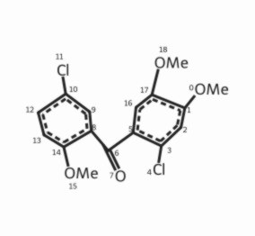 COc1cc(Cl)c(C(=O)c2cc(Cl)ccc2OC)cc1OC